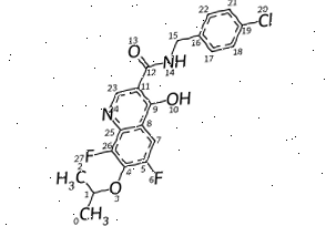 CC(C)Oc1c(F)cc2c(O)c(C(=O)NCc3ccc(Cl)cc3)cnc2c1F